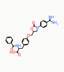 N=C(N)c1ccc(N2CC(COc3ccc(CC(NC(=O)c4ccccc4)C(=O)O)cc3)OC2=O)cc1